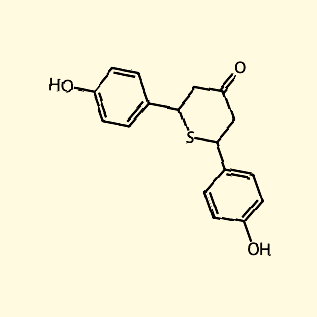 O=C1CC(c2ccc(O)cc2)SC(c2ccc(O)cc2)C1